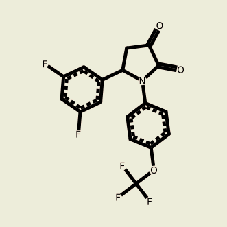 O=C1CC(c2cc(F)cc(F)c2)N(c2ccc(OC(F)(F)F)cc2)C1=O